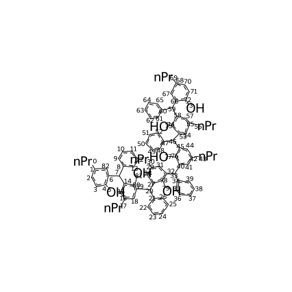 CCCc1ccc(O)c(C(c2ccccc2)c2cc(CCC)cc(C(c3ccccc3)c3cc(CCC)cc(C(c4ccccc4)c4cc(CCC)cc(C(c5ccccc5)c5cc(CCC)cc(C(c6ccccc6)c6cc(CCC)ccc6O)c5O)c4O)c3O)c2O)c1